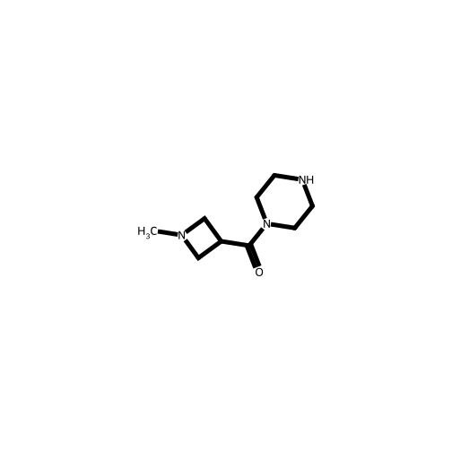 CN1CC(C(=O)N2CCNCC2)C1